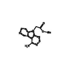 CC(C)(C)OC(=O)Cn1c2ccncc2c2c(N)ncnc21